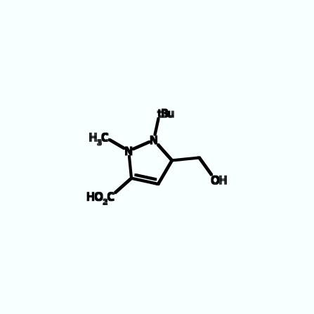 CN1C(C(=O)O)=CC(CO)N1C(C)(C)C